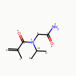 C=C(C)C(=O)N(CC(N)=O)C(C)C